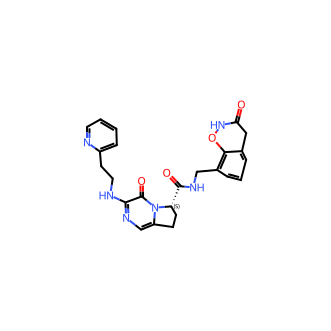 O=C1Cc2cccc(CNC(=O)[C@@H]3CCc4cnc(NCCc5ccccn5)c(=O)n43)c2ON1